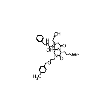 C#CCN1CC(=O)N2[C@@H](CCSC)C(=O)N(CCOCc3ccc(C)cc3)C[C@@H]2N1C(=O)NCc1ccccc1